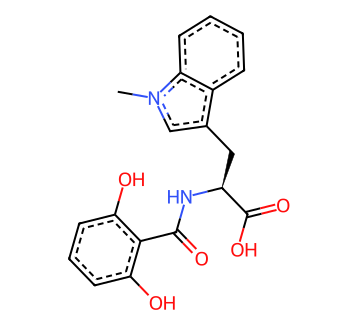 Cn1cc(C[C@H](NC(=O)c2c(O)cccc2O)C(=O)O)c2ccccc21